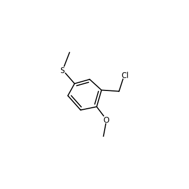 COc1ccc(SC)cc1CCl